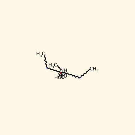 CCCCCCCC/C=C\CCCCCCCC(=O)CC(NCCCCC)(OS(=O)(=O)O)C(=O)CCCCCCC/C=C\CCCCCCCC